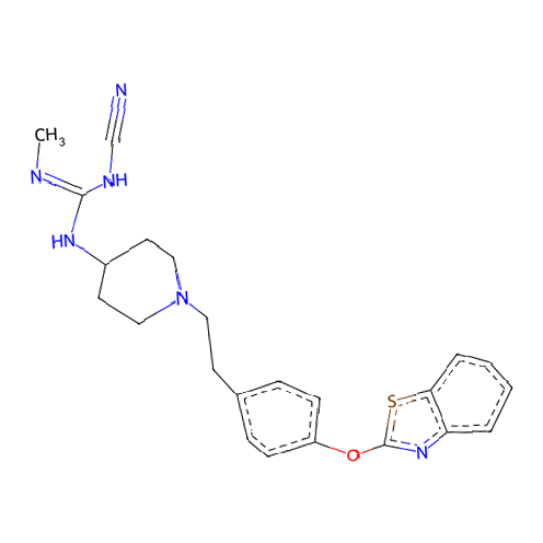 C/N=C(\NC#N)NC1CCN(CCc2ccc(Oc3nc4ccccc4s3)cc2)CC1